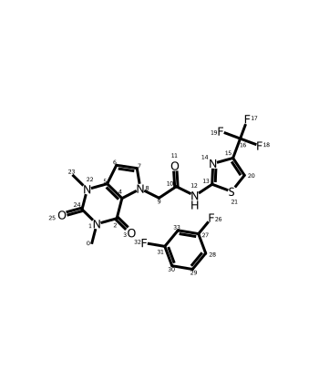 Cn1c(=O)c2c(ccn2CC(=O)Nc2nc(C(F)(F)F)cs2)n(C)c1=O.Fc1cccc(F)c1